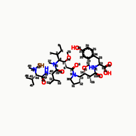 CCC(C)[C@@H]([C@@H](CC(=O)N1CCC[C@H]1[C@H](OC)[C@@H](C)C(=O)NC(Cc1ccc(O)cc1)C(=O)O)OC)N(C)C(=O)[C@@H](NC(=O)[C@H](C(C)C)N(C)S)C(C)C